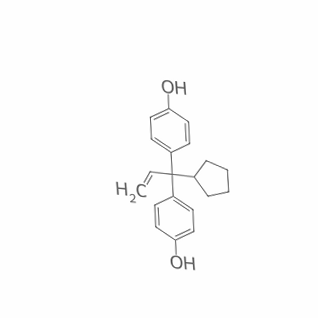 C=CC(c1ccc(O)cc1)(c1ccc(O)cc1)C1CCCC1